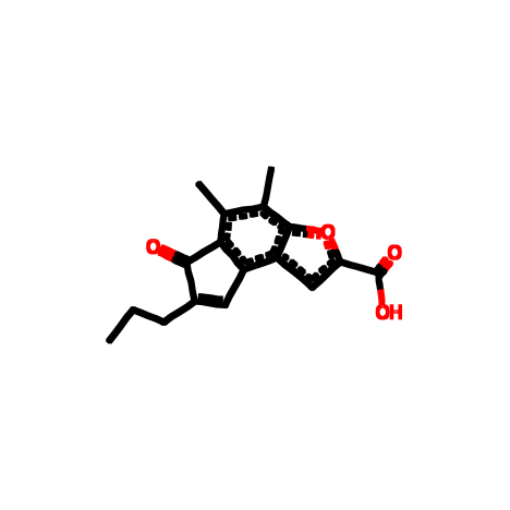 CCCC1=Cc2c(c(C)c(C)c3oc(C(=O)O)cc23)C1=O